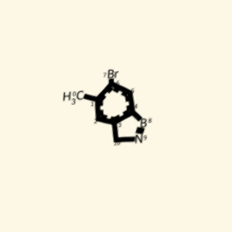 Cc1cc2c(cc1Br)B=NC2